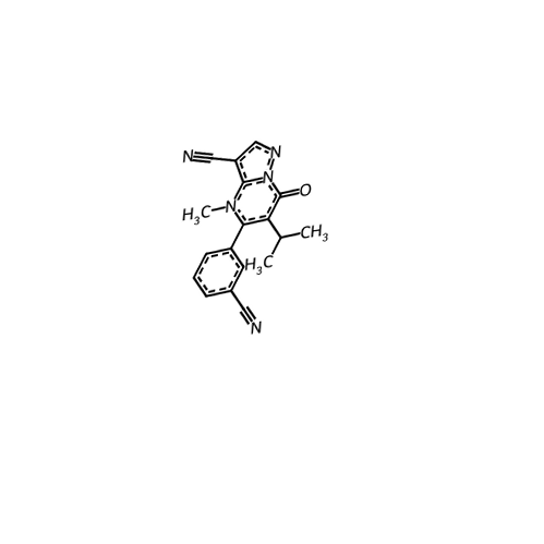 CC(C)c1c(-c2cccc(C#N)c2)n(C)c2c(C#N)cnn2c1=O